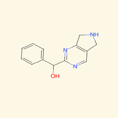 OC(c1ccccc1)c1ncc2c(n1)CNC2